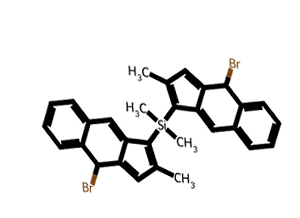 CC1=C([Si](C)(C)C2=C(C)C=C3C2=Cc2ccccc2C3Br)C2=Cc3ccccc3C(Br)C2=C1